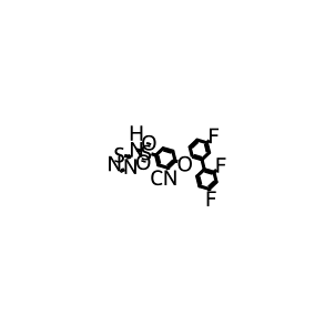 N#Cc1cc(S(=O)(=O)Nc2ncns2)ccc1Oc1ccc(F)cc1-c1ccc(F)cc1F